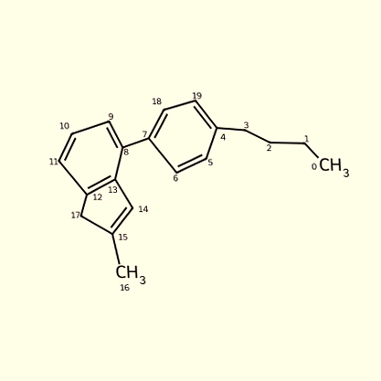 CCCCc1ccc(-c2cccc3c2C=C(C)C3)cc1